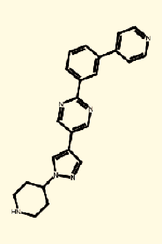 c1cc(-c2ccncc2)cc(-c2ncc(-c3cnn(C4CCNCC4)c3)cn2)c1